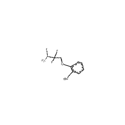 CC(F)C(F)(F)COc1ccccc1C(C)(C)C